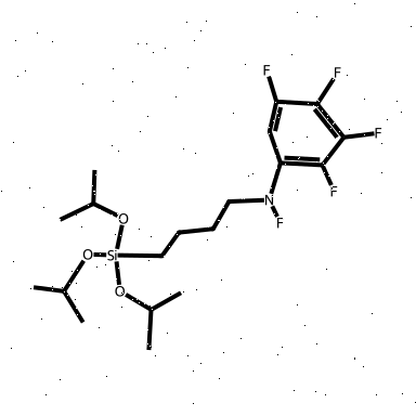 CC(C)O[Si](CCCCN(F)c1cc(F)c(F)c(F)c1F)(OC(C)C)OC(C)C